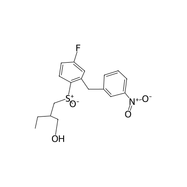 CCC(CO)C[S+]([O-])c1ccc(F)cc1Cc1cccc([N+](=O)[O-])c1